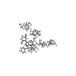 CC(C)(C)OC(=O)CCC(=O)N[C@@H](CSCC(=O)N(CCCNC(=O)OCC[Si](C)(C)C)[C@@H](c1cc(-c2cc(F)ccc2F)cn1Cc1ccccc1)C(C)(C)C)C(=O)O